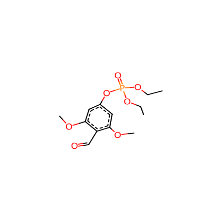 CCOP(=O)(OCC)Oc1cc(OC)c(C=O)c(OC)c1